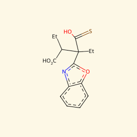 CCC(C(=O)O)C(CC)(C(O)=S)c1nc2ccccc2o1